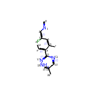 C=N\C=C(F)/C=C(C)\C(=C/C)C(\N=C/C(=C)C)=N\N